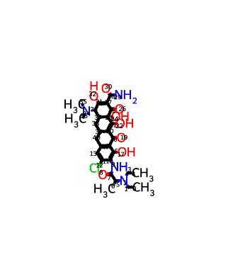 CCN(CC)C(C)C(=O)Nc1c(Cl)cc2c(c1O)C(=O)C1=C(O)[C@]3(O)C(=O)C(C(N)=O)=C(O)[C@@H](N(C)C)C3CC1C2